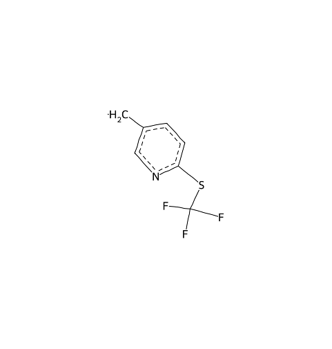 [CH2]c1ccc(SC(F)(F)F)nc1